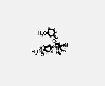 C=C1CCCC(COC2=CC(C#N)(C(F)F)NN2c2ccc(S(C)(=O)=O)cn2)C1